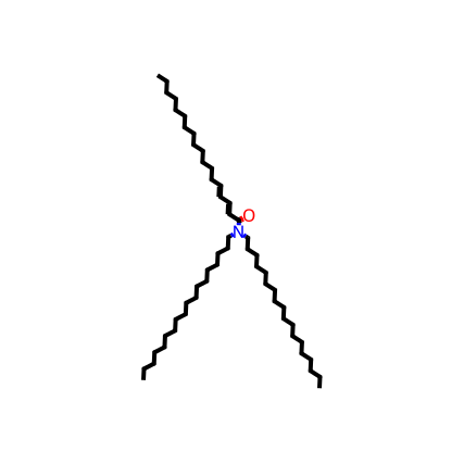 CCCCCCCCCCCCCC=CC=CC(=O)N(CCCCCCCCCCCCCCCCCC)CCCCCCCCCCCCCCCCCC